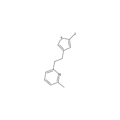 Cc1cccc(CCc2csc(I)c2)n1